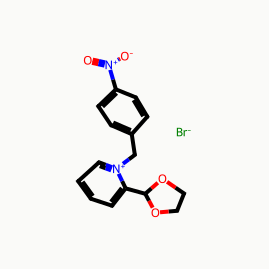 O=[N+]([O-])c1ccc(C[n+]2ccccc2C2OCCO2)cc1.[Br-]